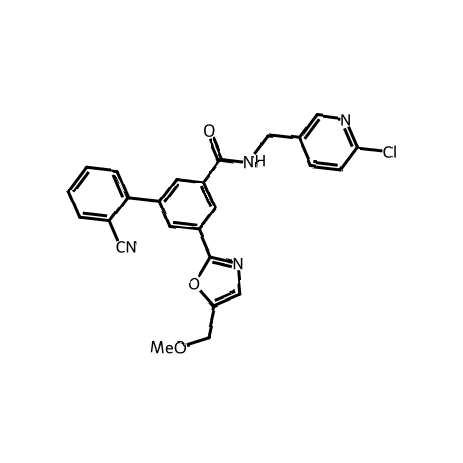 COCc1cnc(-c2cc(C(=O)NCc3ccc(Cl)nc3)cc(-c3ccccc3C#N)c2)o1